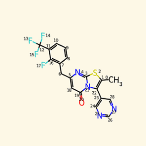 Cc1sc2nc(Cc3cccc(C(F)(F)F)c3F)cc(=O)n2c1-c1cncnc1